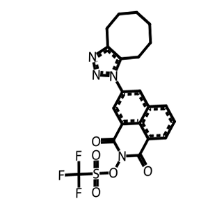 O=C1c2cccc3cc(-n4nnc5c4CCCCCC5)cc(c23)C(=O)N1OS(=O)(=O)C(F)(F)F